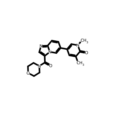 Cc1cc(-c2ccc3ncc(C(=O)N4CCOCC4)n3c2)cn(C)c1=O